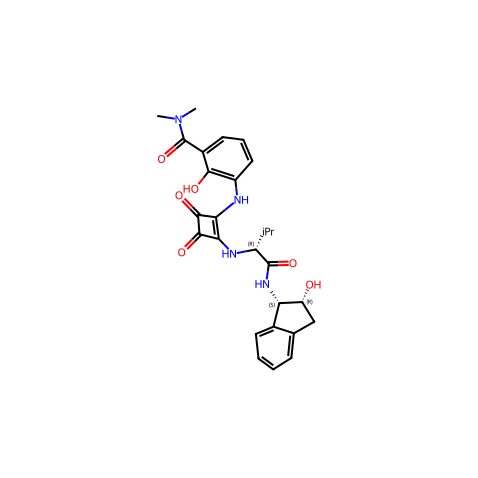 CC(C)[C@@H](Nc1c(Nc2cccc(C(=O)N(C)C)c2O)c(=O)c1=O)C(=O)N[C@H]1c2ccccc2C[C@H]1O